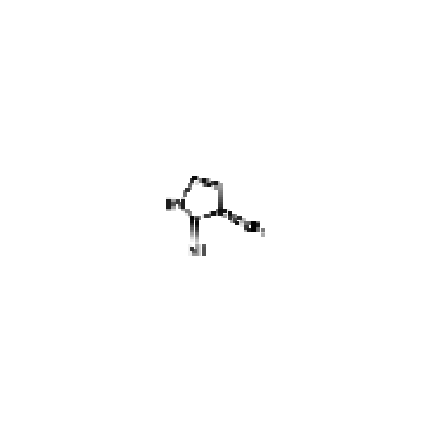 C=C1C=CNC1=N